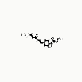 C[C@H]1CN(CCOC(=O)CCC(=O)O)CCN1NC(=O)OC(C)(C)C